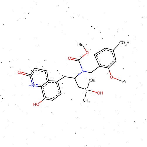 CC(C)Oc1cc(C(=O)O)ccc1CN(C(=O)OC(C)(C)C)C(Cc1ccc(O)c2[nH]c(=O)ccc12)C[Si](C)(O)C(C)(C)C